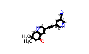 CC1(C)CC(=O)c2cc(C#Cc3cncc(C#N)c3)cnc2C1